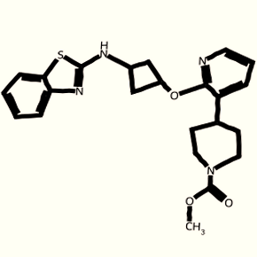 COC(=O)N1CCC(c2cccnc2OC2CC(Nc3nc4ccccc4s3)C2)CC1